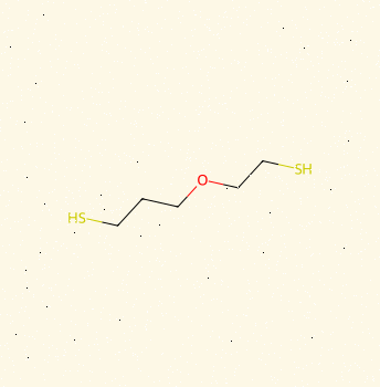 SCCCOCCS